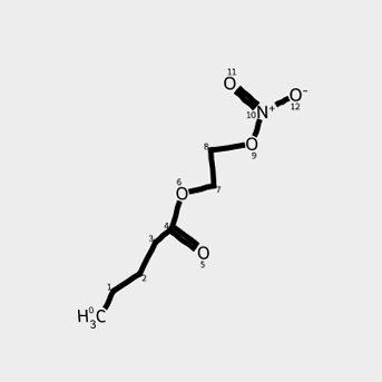 CCCCC(=O)OCCO[N+](=O)[O-]